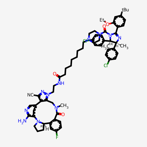 CCOc1cc(C(C)(C)C)ccc1C1=N[C@@](C)(c2ccc(Cl)cc2)[C@@](C)(c2ccc(Cl)cc2)N1C(=O)N1CCN(CCCCCCCCC(=O)NCCn2nc(C#N)c3c2CN(C)C(=O)c2ccc(F)cc2[C@H]2CCCN2c2cc-3cnc2N)CC1